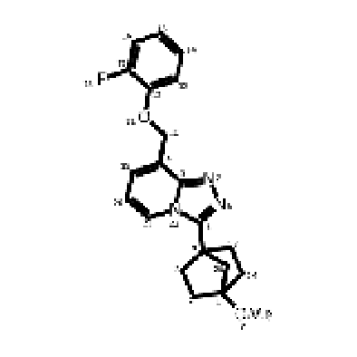 COC12CCC(c3nnc4c(COc5ccccc5F)cccn34)(CC1)C2